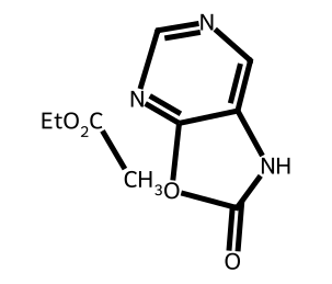 CCOC(C)=O.O=c1[nH]c2cncnc2o1